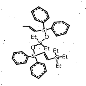 CC=C[Si](O[Si](CC)(CC)O[Si](C=C[Si](CC)(CC)CC)(c1ccccc1)c1ccccc1)(c1ccccc1)c1ccccc1